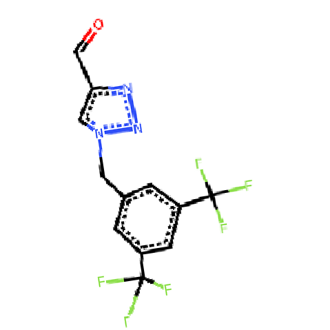 O=Cc1cn(Cc2cc(C(F)(F)F)cc(C(F)(F)F)c2)nn1